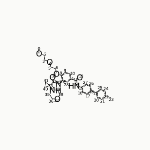 COCCOCCOc1ccc(C(=O)Nc2ccc(-c3ccc(C)cc3)cc2)cc1NC(=O)C1(N2CCOCC2)CC1